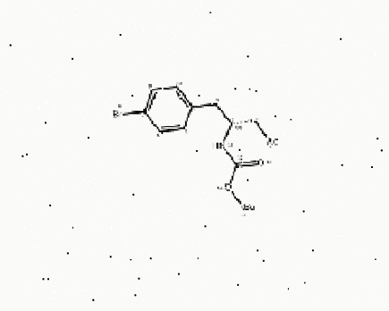 CC(=O)C[C@@H](Cc1ccc(Br)cc1)NC(=O)OC(C)(C)C